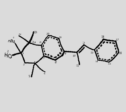 CCCCC1(O)CC(C)(C)c2cc(/C(C)=C/c3ccccc3)ccc2C1(C)C